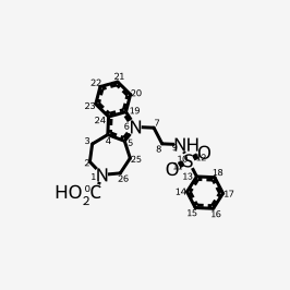 O=C(O)N1CCc2c(n(CCNS(=O)(=O)c3ccccc3)c3ccccc23)CC1